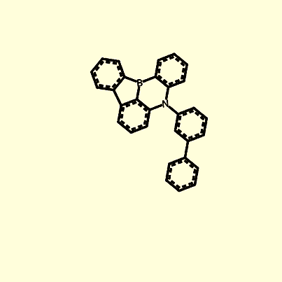 c1ccc(-c2cccc(N3c4ccccc4B4c5ccccc5-c5cccc3c54)c2)cc1